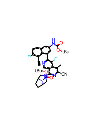 C#Cc1c(F)ccc2cc(NC(=O)OC(C)(C)C)cc(-c3ncc4c(N5CC6CCC(C5)N6C(=O)OC(C)(C)C)nc(C#N)c(C)c4c3F)c12